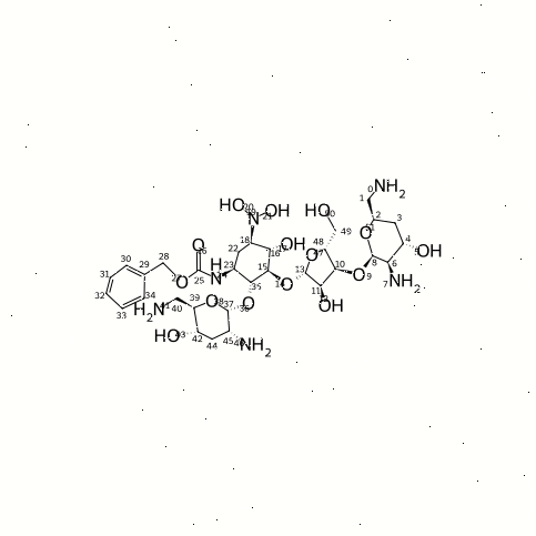 NC[C@H]1C[C@H](O)[C@@H](N)[C@@H](O[C@H]2[C@@H](O)[C@H](O[C@@H]3[C@@H](O)[C@H](N(O)O)C[C@H](NC(=O)OCc4ccccc4)[C@H]3O[C@H]3O[C@H](CN)[C@@H](O)C[C@H]3N)O[C@@H]2CO)O1